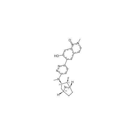 CN(c1ccc(-c2cc3ccn(C)c(=O)c3cc2O)nn1)[C@@H]1C[C@H]2CC[C@@H]([C@@H]1F)N2C